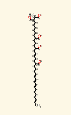 CCCCCCCC=CC=CC=CCCCC(C=O)CCC=CCC(C=O)CCCC(C=O)CCCCCCC(C=O)C(C)C=O